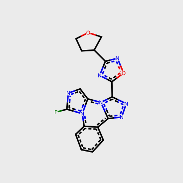 Fc1ncc2n1c1ccccc1c1nnc(-c3nc(C4CCOC4)no3)n12